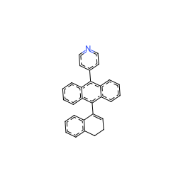 C1=C(c2c3ccccc3c(-c3ccncc3)c3ccccc23)c2ccccc2CC1